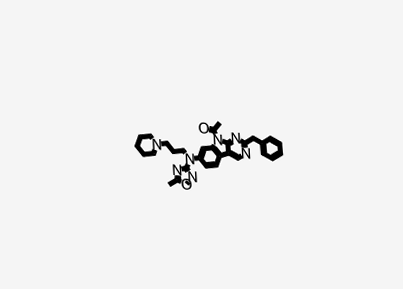 CC(=O)n1c2cc(N(CCCN3CCCCC3)c3noc(C)n3)ccc2c2cnc(Cc3ccccc3)nc21